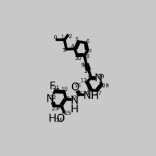 CC(C)Cc1cccc(C#Cc2cc(NC(=O)Nc3cc(F)ncc3CO)ccn2)c1